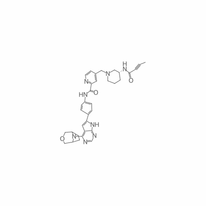 CC#CC(=O)N[C@@H]1CCCN(Cc2ccnc(C(=O)Nc3ccc(-c4cc5c(N6C7CCC6COC7)ncnc5[nH]4)cc3)c2)C1